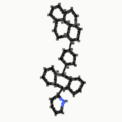 c1ccc(-c2c3ccccc3c(-c3ccc(-c4ccc5ccc6cccc7ccc4c5c67)cc3)c3ccccc23)nc1